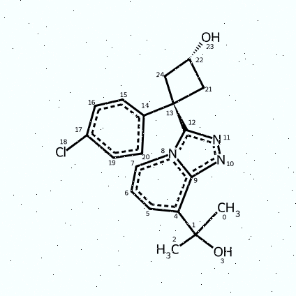 CC(C)(O)c1cccn2c1nnc2[C@]1(c2ccc(Cl)cc2)C[C@@H](O)C1